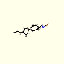 C=CCC1CCC(c2ccc(CN=C=S)cc2)CC1